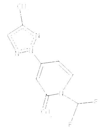 C=C1C=C(n2ncc(C)n2)C=CN1C(F)F